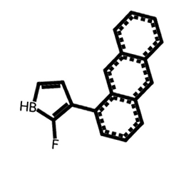 FC1=C(c2cccc3cc4ccccc4cc23)C=CB1